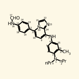 CCCN(CCC)c1ccc(Nc2ccc(-c3ccc(NC=O)cc3)n3ccnc23)cc1C